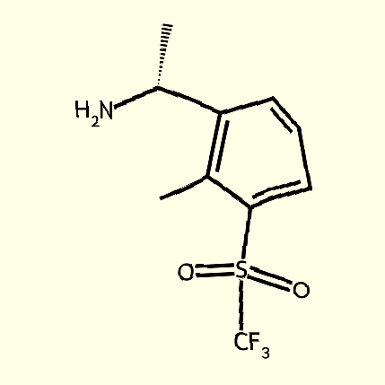 Cc1c([C@@H](C)N)cccc1S(=O)(=O)C(F)(F)F